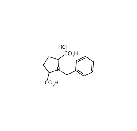 Cl.O=C(O)C1CCC(C(=O)O)N1Cc1ccccc1